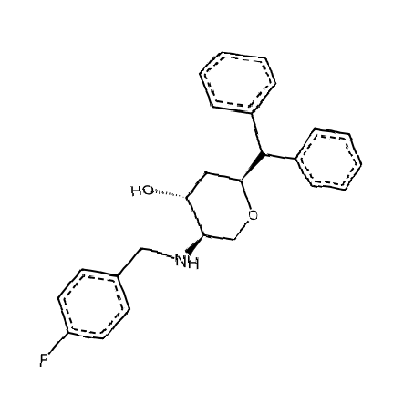 O[C@@H]1C[C@@H](C(c2ccccc2)c2ccccc2)OC[C@H]1NCc1ccc(F)cc1